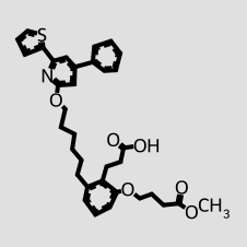 COC(=O)CCCOc1cccc(CCCCCCOc2cc(-c3ccccc3)cc(-c3cccs3)n2)c1CCC(=O)O